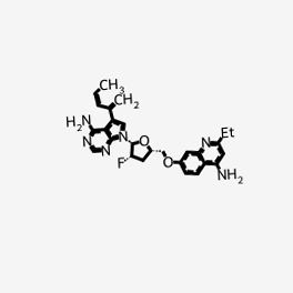 C=C(/C=C\C)c1cn([C@@H]2O[C@H](COc3ccc4c(N)cc(CC)nc4c3)C[C@@H]2F)c2ncnc(N)c12